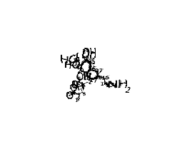 CC(C)C(=O)O.CC(C)C(=O)O.Cl.NCCc1ccc2cc(O)c(O)cc2c1